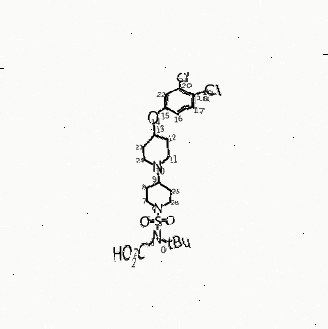 CC(C)(C)N(C(=O)O)S(=O)(=O)N1CCC(N2CCC(Oc3ccc(Cl)c(Cl)c3)CC2)CC1